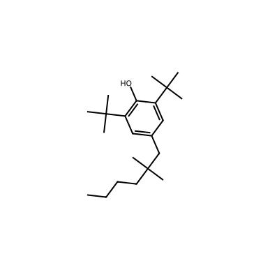 CCCCC(C)(C)Cc1cc(C(C)(C)C)c(O)c(C(C)(C)C)c1